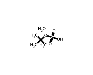 CC(C)(C)OS(=O)(=O)O.O